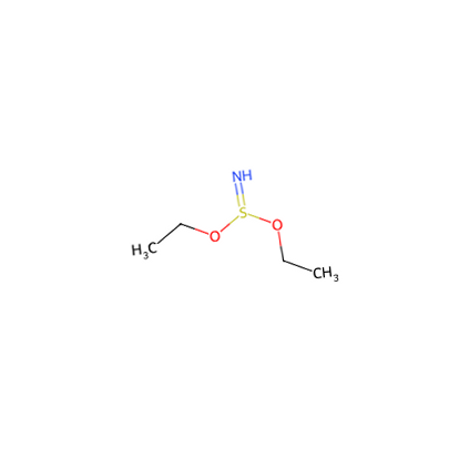 CCOS(=N)OCC